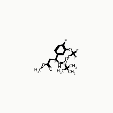 COC(=O)C[C@H](N[S@+]([O-])C(C)(C)C)c1ccc(F)c(OC(F)(F)F)c1